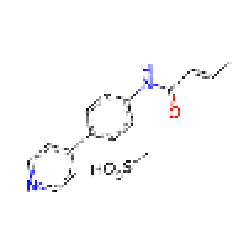 CC=CC(=O)Nc1ccc(-c2ccncc2)cc1.CS(=O)(=O)O